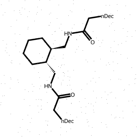 CCCCCCCCCCCC(=O)NC[C@@H]1CCCC[C@H]1CNC(=O)CCCCCCCCCCC